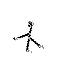 CCCCCCCCCCN(CCCCCCCCCC)CCN(CCCCCCCCCC)CCCCCN1CCN(C)CC1